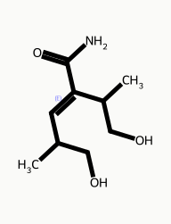 CC(/C=C(/C(N)=O)C(C)CO)CO